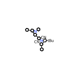 CC(C)(C)C1=CC2c3cc(-c4ccccc4)ccc3N(c3c(C#N)cc(-c4ccc5c6cc(-c7ccccc7)ccc6n(-c6ccccc6)c5c4)cc3C#N)C2C=C1